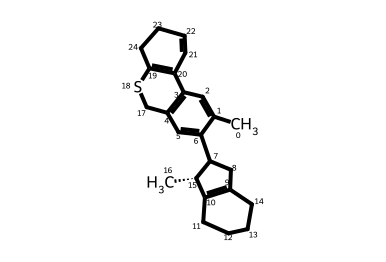 Cc1cc2c(cc1C1CC3=C(CCCC3)[C@@H]1C)CSC1=C2C=CCC1